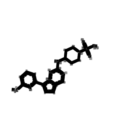 Cc1cccc(-c2ccc3cnc(NC4CCN(S(C)(=O)=O)CC4)nn23)n1